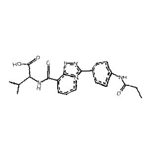 CCC(=O)Nc1ccc(-c2nnc3c(C(=O)NC(C(=O)O)C(C)C)cccn23)cc1